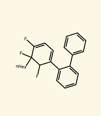 CCCCCCC1(F)C(F)=CC=C(c2ccccc2-c2ccccc2)C1F